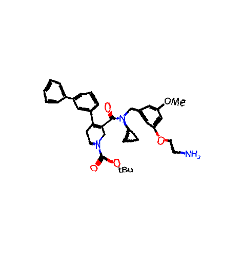 COc1cc(CN(C(=O)C2=C(c3cccc(-c4ccccc4)c3)CCN(C(=O)OC(C)(C)C)C2)C2CC2)cc(OCCN)c1